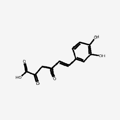 O=C(/C=C/c1ccc(O)c(O)c1)CC(=O)C(=O)O